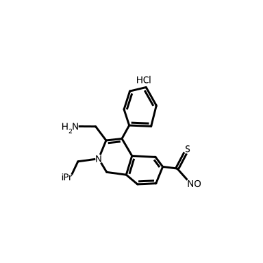 CC(C)CN1Cc2ccc(C(=S)N=O)cc2C(c2ccccc2)=C1CN.Cl